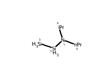 CCCN([SiH2][SiH3])C(C)C